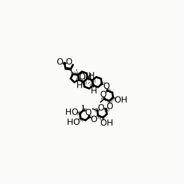 C[C@H]1O[C@@H](O[C@H]2[C@@H](O)C[C@H](O[C@H]3[C@@H](O)C[C@H](O[C@H]4CC[C@@]5(C)[C@H](CC[C@@H]6[C@@H]5CC[C@]5(C)[C@H](C7=CC(=O)OC7)CC[C@]65O)C4)O[C@@H]3C)O[C@@H]2C)C[C@H](O)[C@@H]1O